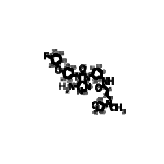 CN(CC=CC(=O)Nc1cccc(-n2c(=O)n(-c3ccc(Oc4cccc(F)c4)cc3)c3c(N)ncnc32)c1)C1CCOC1